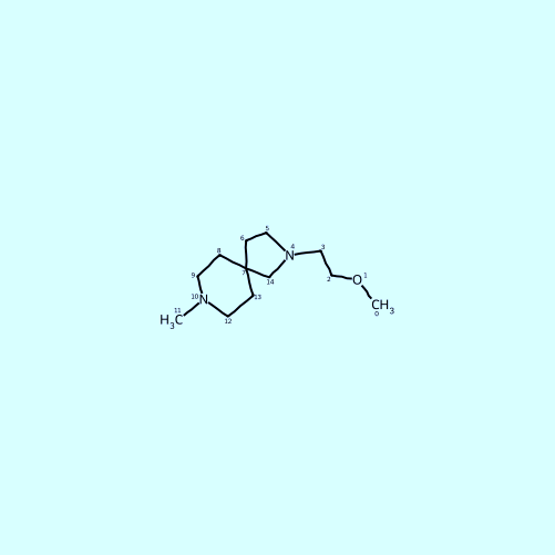 COCCN1CCC2(CCN(C)CC2)C1